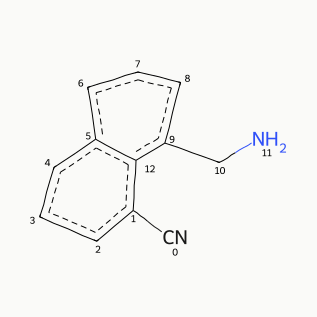 N#Cc1cccc2cccc(CN)c12